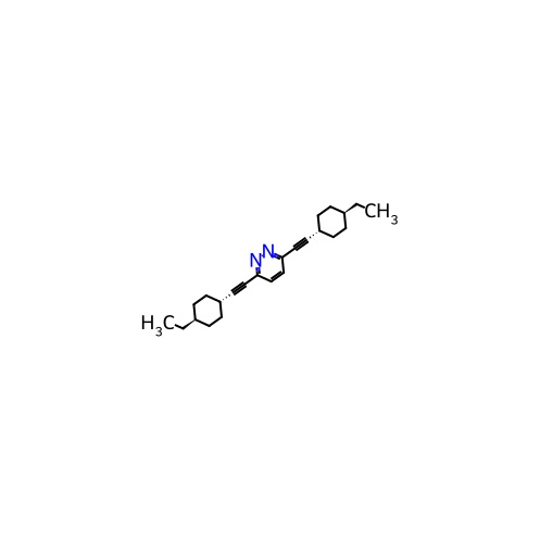 CC[C@H]1CC[C@H](C#Cc2ccc(C#C[C@H]3CC[C@H](CC)CC3)nn2)CC1